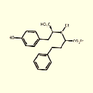 CCOC(=O)[C@@H](CCc1ccccc1)N(CC)[C@@H](Cc1ccc(O)cc1)C(=O)O